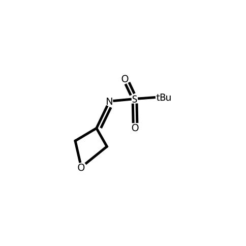 CC(C)(C)S(=O)(=O)N=C1COC1